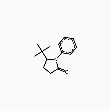 CC(C)(C)C1CCC(=O)N1c1ccccc1